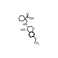 CCc1ccc2c(c1)OC[C@@H](NCC1(C(=O)O)CCCCC1)[C@H]2O